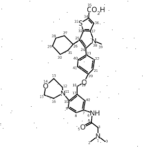 CN(C)CC(=O)Nc1ccc(N2CCOCC2)c(COc2ccc(-c3c(C4CCCCC4)c4sc(C(=O)O)cc4n3C)cc2)c1